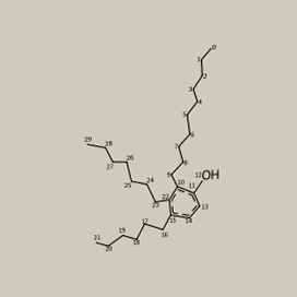 CCCCCCCCCCc1c(O)ccc(CCCCCC)c1CCCCCCC